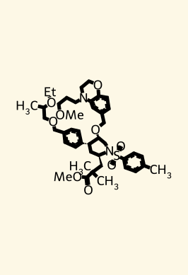 CCOC(C)COCc1ccc([C@H]2C[C@H](CC(C)(C)C(=O)OC)N(S(=O)(=O)c3ccc(C)cc3)C[C@@H]2OCc2ccc3c(c2)N(CCCOC)CCO3)cc1